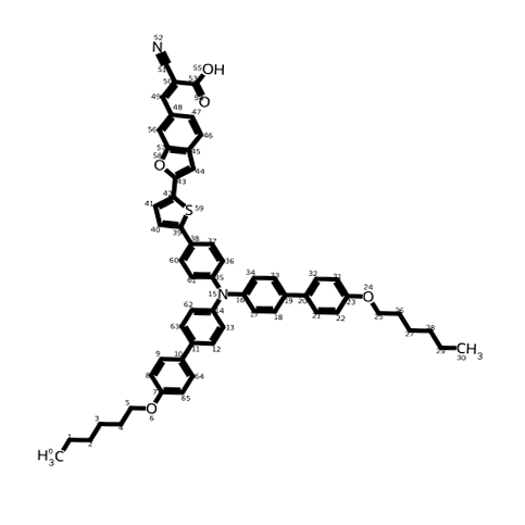 CCCCCCOc1ccc(-c2ccc(N(c3ccc(-c4ccc(OCCCCCC)cc4)cc3)c3ccc(-c4ccc(-c5cc6ccc(/C=C(/C#N)C(=O)O)cc6o5)s4)cc3)cc2)cc1